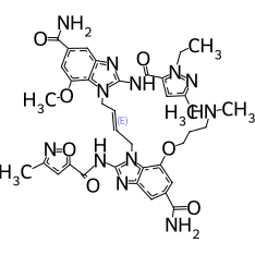 CCn1nc(C)cc1C(=O)Nc1nc2cc(C(N)=O)cc(OC)c2n1C/C=C/Cn1c(NC(=O)c2cc(C)no2)nc2cc(C(N)=O)cc(OCCCNC)c21